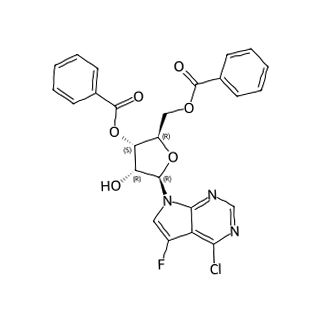 O=C(OC[C@H]1O[C@@H](n2cc(F)c3c(Cl)ncnc32)[C@H](O)[C@@H]1OC(=O)c1ccccc1)c1ccccc1